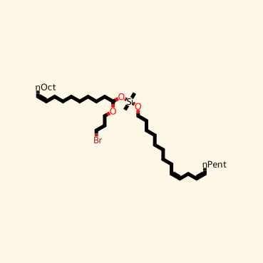 CCCCC/C=C\C/C=C\CCCCCCCCO[Si](C)(C)OC(CCCCCCC/C=C\CCCCCCCC)OCCCBr